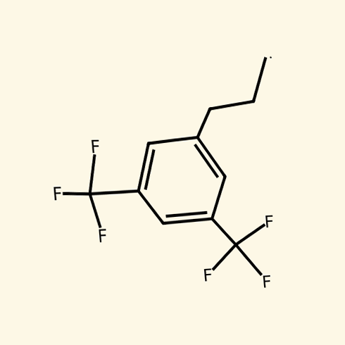 [CH2]CCc1cc(C(F)(F)F)cc(C(F)(F)F)c1